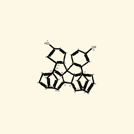 Oc1ccc(C2(c3ccc(O)cc3-c3ccccc3)c3ccccc3-c3ccccc32)c(-c2ccccc2)c1